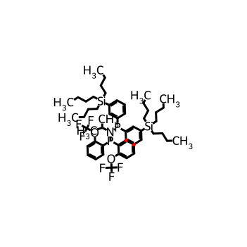 CCCC[Si](CCCC)(CCCC)c1cccc(P(c2cccc([Si](CCCC)(CCCC)CCCC)c2)N(C(C)C)P(c2ccccc2OC(F)(F)F)c2ccccc2OC(F)(F)F)c1